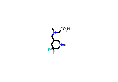 CN(CC(=O)O)CC1CN(C)CC(F)(F)C1